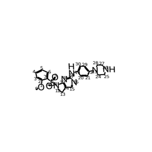 COc1ccccc1S(=O)(=O)N1CCc2cnc(Nc3ccc(N4CCNCC4)cc3)nc21